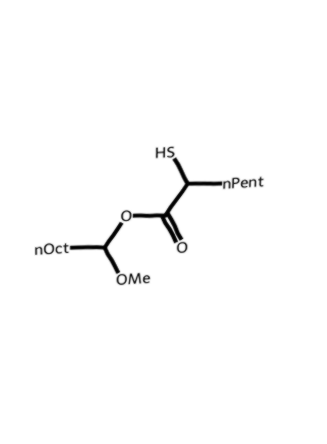 CCCCCCCCC(OC)OC(=O)C(S)CCCCC